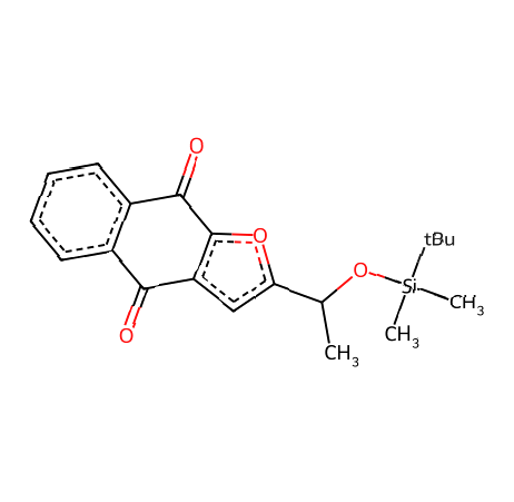 CC(O[Si](C)(C)C(C)(C)C)c1cc2c(o1)C(=O)c1ccccc1C2=O